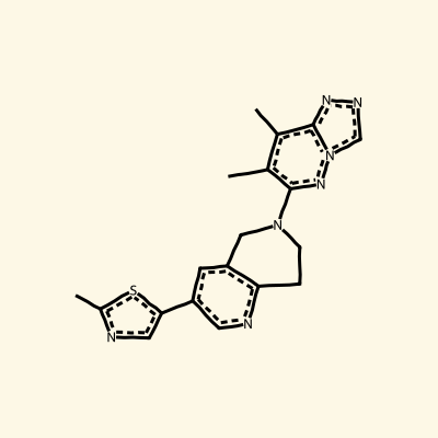 Cc1ncc(-c2cnc3c(c2)CN(c2nn4cnnc4c(C)c2C)CC3)s1